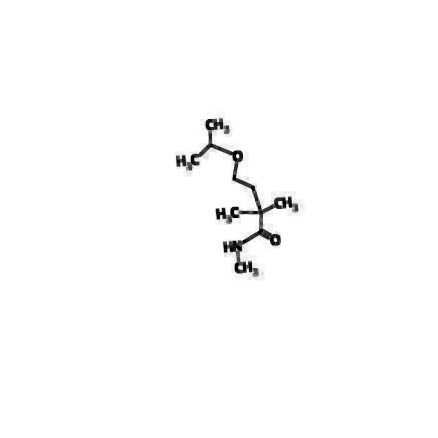 CNC(=O)C(C)(C)CCOC(C)C